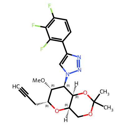 C#CC[C@H]1O[C@@H]2COC(C)(C)O[C@@H]2[C@H](n2cc(-c3ccc(F)c(F)c3F)nn2)[C@H]1OC